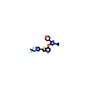 CC(F)(F)Cn1cc(-c2cc3nccc(Oc4cn(C5CC5)nc4C4CCOCC4)c3s2)cn1